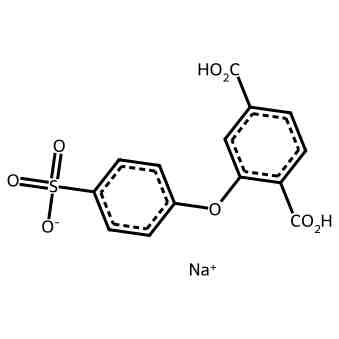 O=C(O)c1ccc(C(=O)O)c(Oc2ccc(S(=O)(=O)[O-])cc2)c1.[Na+]